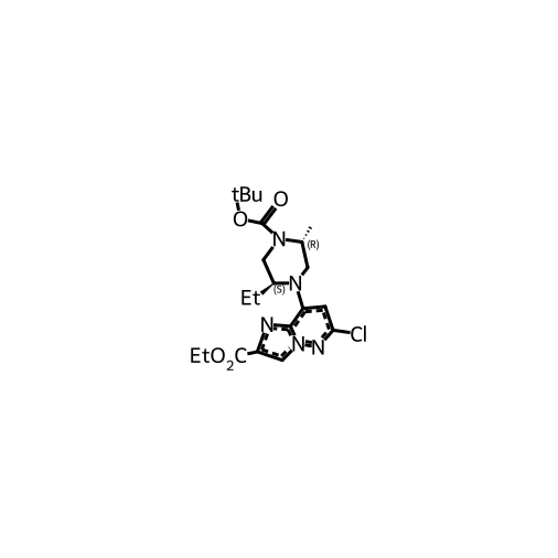 CCOC(=O)c1cn2nc(Cl)cc(N3C[C@@H](C)N(C(=O)OC(C)(C)C)C[C@@H]3CC)c2n1